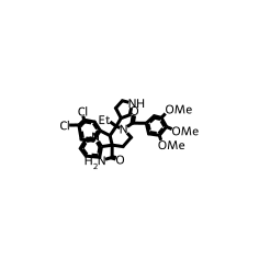 CCC1(C2CCNC2)C(c2ccc(Cl)c(Cl)c2)C(C(N)=O)(c2ccccn2)CCN1C(=O)c1cc(OC)c(OC)c(OC)c1